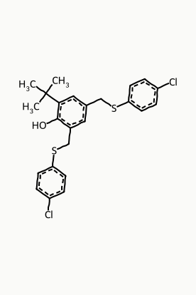 CC(C)(C)c1cc(CSc2ccc(Cl)cc2)cc(CSc2ccc(Cl)cc2)c1O